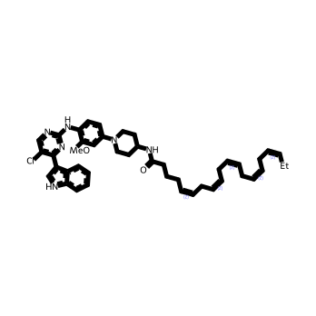 CC/C=C\C/C=C\C/C=C\C/C=C\C/C=C\CCCC(=O)NC1CCN(c2ccc(Nc3ncc(Cl)c(-c4c[nH]c5ccccc45)n3)c(OC)c2)CC1